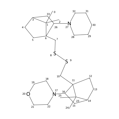 CC1(C)C2CCC1(CSSCC13CCC(CC1N1CCOCC1)C3(C)C)C(N1CCCCC1)C2